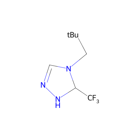 CC(C)(C)CN1C=NNC1C(F)(F)F